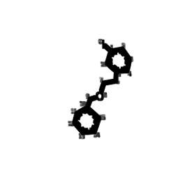 Ic1cccc(CCOCc2ccccc2)c1